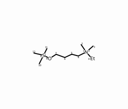 CC[N+](C)(C)CCCCO[Si](C)(C)C